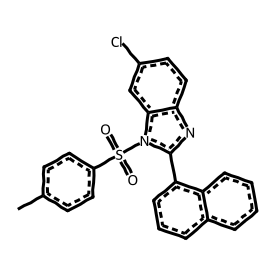 Cc1ccc(S(=O)(=O)n2c(-c3cccc4ccccc34)nc3ccc(Cl)cc32)cc1